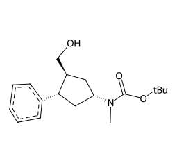 CN(C(=O)OC(C)(C)C)[C@H]1C[C@H](CO)[C@@H](c2ccccc2)C1